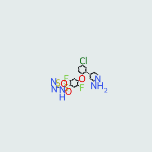 Nc1cc(-c2cc(Cl)ccc2Oc2cc(F)c(S(=O)(=O)Nc3ncns3)cc2F)ccn1